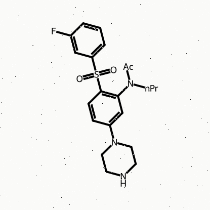 CCCN(C(C)=O)c1cc(N2CCNCC2)ccc1S(=O)(=O)c1cccc(F)c1